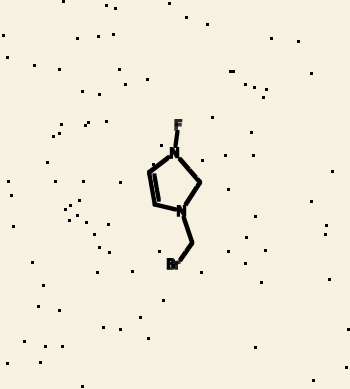 FN1C=CN(CBr)C1